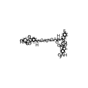 CC(=O)Nc1ccc2c(c1)CC[C@@]21OC(=O)N(CC(=O)N(Cc2ccc(F)cc2)[C@@H](C)CNC(=O)CCOCCOCCOCCNc2ccc3c(c2)C(=O)N(C2CCC(=O)NC2=O)C3=O)C1=O